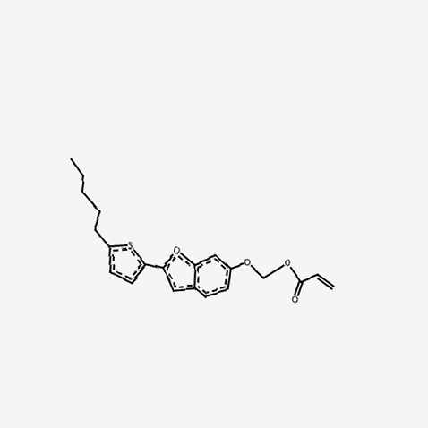 C=CC(=O)OCOc1ccc2cc(-c3ccc(CCCCC)s3)oc2c1